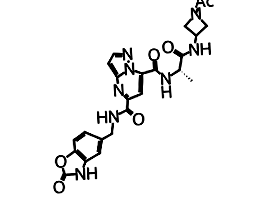 CC(=O)N1CC(NC(=O)[C@H](C)NC(=O)c2cc(C(=O)NCc3ccc4oc(=O)[nH]c4c3)nc3ccnn23)C1